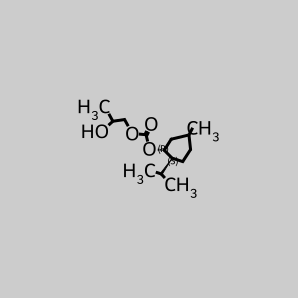 CC(O)COC(=O)O[C@@H]1CC(C)CC[C@H]1C(C)C